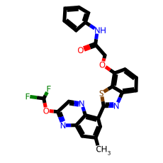 Cc1cc(-c2nc3cccc(OCC(=O)Nc4ccccc4)c3s2)c2ncc(OC(F)F)nc2c1